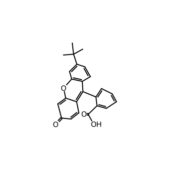 CC(C)(C)c1ccc2c(-c3ccccc3C(=O)O)c3ccc(=O)cc-3oc2c1